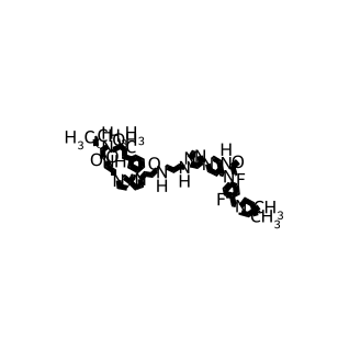 CC(C)C[C@H](NC(=O)[C@@H](O)[C@H](C)Cc1ccccc1)C(=O)NCCCN1CC[C@]2(CCN(CCC(=O)NCCCNc3cc(N4CCC5(CC4)CN(c4cc(F)c(CN6CCC(C)(C)CC6)cc4F)CC(=O)N5)ncn3)C2)C1